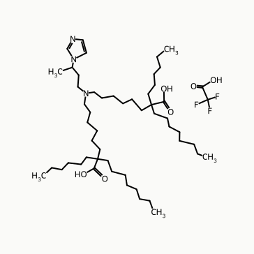 CCCCCCCCC(CCCCCC)(CCCCCCN(CCCCCCC(CCCCCC)(CCCCCCCC)C(=O)O)CCC(C)n1ccnc1)C(=O)O.O=C(O)C(F)(F)F